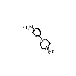 CCN1CCN(c2ccc([N+](=O)[O-])cc2)CC1